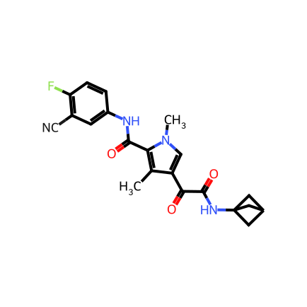 Cc1c(C(=O)C(=O)NC23CC(C2)C3)cn(C)c1C(=O)Nc1ccc(F)c(C#N)c1